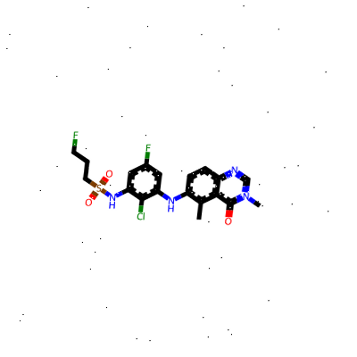 Cc1c(Nc2cc(F)cc(NS(=O)(=O)CCCF)c2Cl)ccc2ncn(C)c(=O)c12